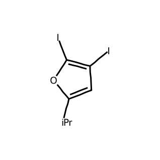 CC(C)c1cc(I)c(I)o1